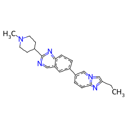 CCc1cn2cc(-c3ccc4nc(C5CCN(C)CC5)ncc4c3)ccc2n1